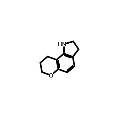 c1cc2c(c3c1CCN3)CCCO2